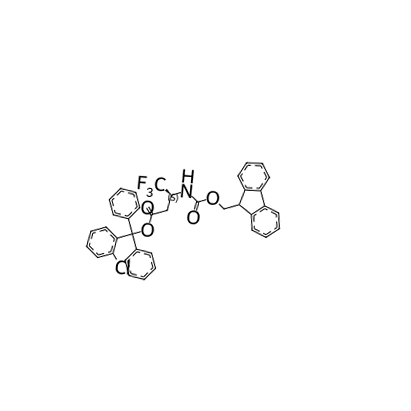 O=C(C[C@H](NC(=O)OCC1c2ccccc2-c2ccccc21)C(F)(F)F)OC(c1ccccc1)(c1ccccc1)c1ccccc1Cl